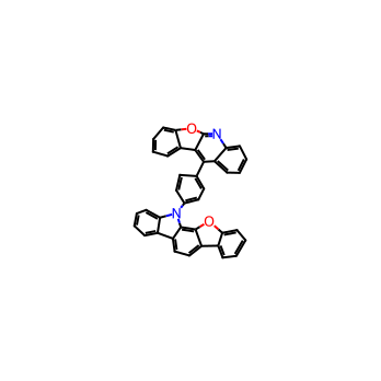 c1ccc2c(-c3ccc(-n4c5ccccc5c5ccc6c7ccccc7oc6c54)cc3)c3c(nc2c1)oc1ccccc13